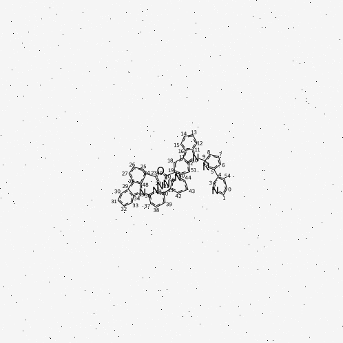 c1cncc(-c2cccc(-n3c4ccccc4c4cc(-c5nnc(-c6cccc7c8ccccc8n(-c8cccc(-c9cccnc9)n8)c67)o5)ccc43)n2)c1